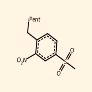 CCCC(C)Cc1ccc(S(C)(=O)=O)cc1[N+](=O)[O-]